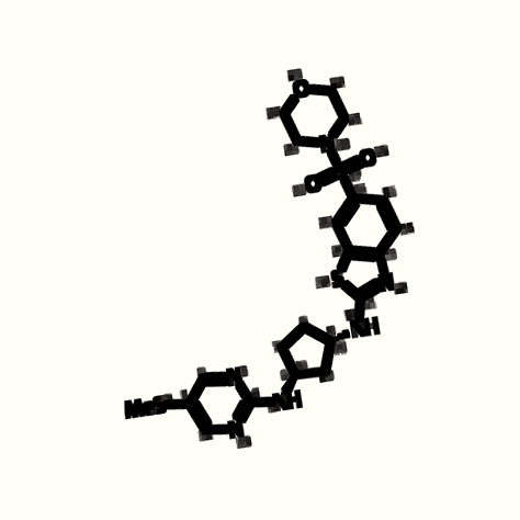 CSc1cnc(N[C@H]2CC[C@H](Nc3nc4ccc(S(=O)(=O)N5CCOCC5)cc4s3)C2)nc1